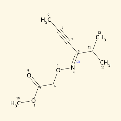 CC#C/C(=N\OCC(=O)OC)C(C)C